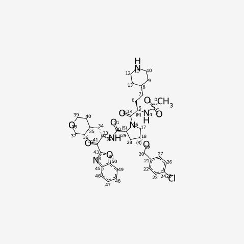 CS(=O)(=O)N[C@H](CCC1CCNCC1)C(=O)N1C[C@H](OCc2ccc(Cl)cc2)C[C@H]1C(=O)N[C@@H](CC1CCOCC1)C(=O)c1nc2ccccc2o1